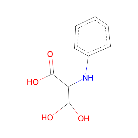 O=C(O)C(Nc1ccccc1)C(O)O